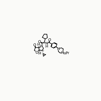 CCCN1CCN(c2ccc(C(=O)N[C@H](C(=O)N3C[C@H](C4CC4)[C@H]4OCC(=O)[C@H]43)C3CCCC3)cc2)CC1